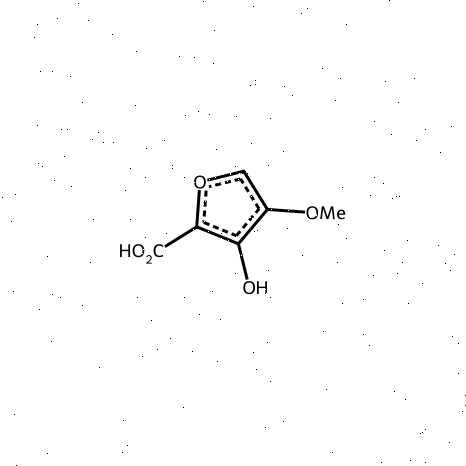 COc1coc(C(=O)O)c1O